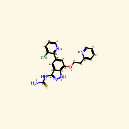 NC(=S)Nc1n[nH]c2c(OCCc3ccccn3)cc(-c3ncccc3Cl)cc12